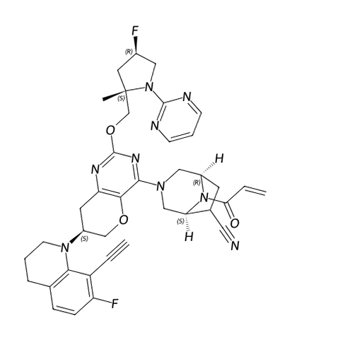 C#Cc1c(F)ccc2c1N([C@@H]1COc3c(nc(OC[C@]4(C)C[C@@H](F)CN4c4ncccn4)nc3N3C[C@H]4CC(C#N)[C@@H](C3)N4C(=O)C=C)C1)CCC2